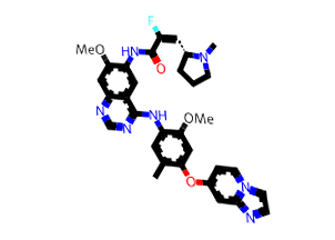 COc1cc2ncnc(Nc3cc(C)c(Oc4ccn5ccnc5c4)cc3OC)c2cc1NC(=O)/C(F)=C\[C@H]1CCCN1C